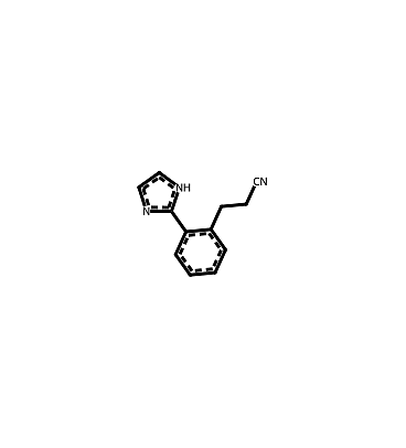 N#CCCc1ccccc1-c1ncc[nH]1